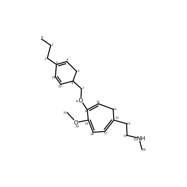 CCCC1=CCC(COC2=CCC(CCNC)=CC=C2OC)C=C1